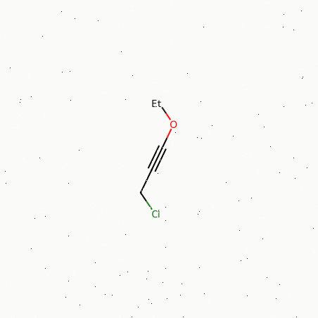 [CH2]COC#CCCl